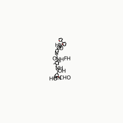 Cc1cc(NC(=O)CCN2CCC(OC(=O)Nc3ccccc3-c3ccccc3)CC2)c(C)cc1CNC[C@H](O)c1ccc(O)c(NC=O)c1.F